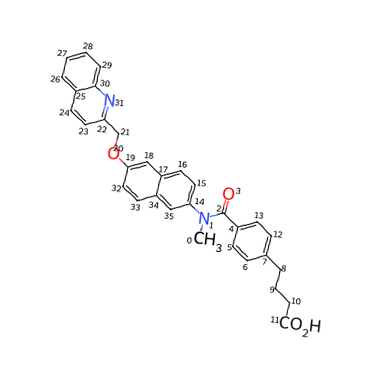 CN(C(=O)c1ccc(CCCC(=O)O)cc1)c1ccc2cc(OCc3ccc4ccccc4n3)ccc2c1